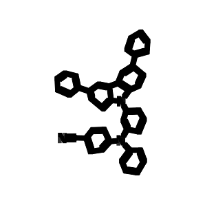 N#Cc1ccc(N(c2ccccc2)c2cccc(-n3c4ccc(-c5ccccc5)cc4c4cc(-c5ccccc5)ccc43)c2)cc1